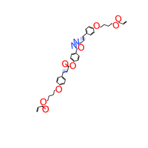 C=CC(=O)OCCCCOc1ccc(/C=C/C(=O)Oc2ccc(-c3nnc(/C=C/c4ccc(OCCCCOC(=O)C=C)cc4)o3)cc2)cc1